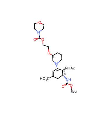 CC(=O)N[C@H]1[C@@H](NC(=O)OC(C)(C)C)CC(C(=O)O)=C[C@H]1N1CCC[C@H](OCCOC(=O)N2CCOCC2)C1